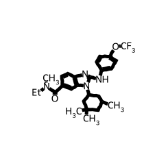 CCN(C)C(=O)c1ccc2nc(Nc3ccc(OC(F)(F)F)cc3)n(C3CC(C)CC(C)(C)C3)c2c1